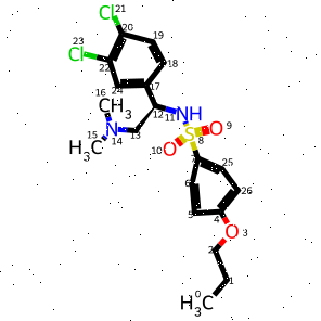 CCCOc1ccc(S(=O)(=O)N[C@@H](CN(C)C)c2ccc(Cl)c(Cl)c2)cc1